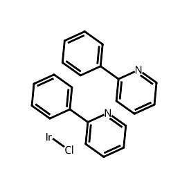 [Cl][Ir].c1ccc(-c2ccccn2)cc1.c1ccc(-c2ccccn2)cc1